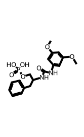 COc1cc(NC(=O)NC(COP(=O)(O)O)Cc2ccccc2)cc(OC)c1